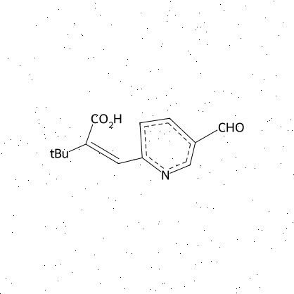 CC(C)(C)C(=Cc1ccc(C=O)cn1)C(=O)O